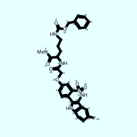 CNC(=O)C(CCCNC(=O)OCc1ccccc1)NC(=O)COc1ccc2c(c1)S(=O)(=O)Nc1c-2[nH]c2ccc(F)cc12